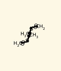 C=CC(=O)OCCCc1ccc(C#CC2=CCC(c3c(C)cc(C#Cc4ccc(CCCOC(=O)C=C)s4)cc3C)C=C2)s1